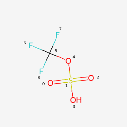 O=S(=O)(O)OC(F)(F)F